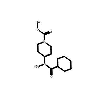 CCCCN(C(=O)C1CCCCC1)C1CCN(C(=O)OC(C)(C)C)CC1